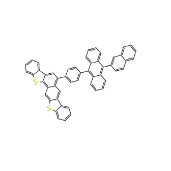 c1ccc2cc(-c3c4ccccc4c(-c4ccc(-c5cc6c7ccccc7sc6c6cc7sc8ccccc8c7cc56)cc4)c4ccccc34)ccc2c1